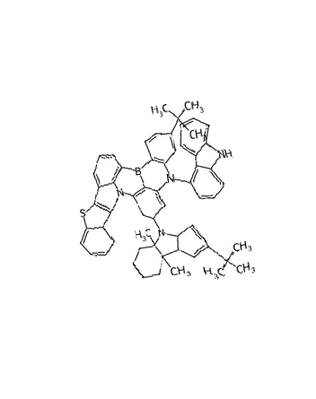 CC(C)(C)C1=CC2C(C=C1)N(C1C=C3C4=C(C1)n1c5c(c6cccc(c61)B4c1ccc(C(C)(C)C)cc1N3c1cccc3[nH]c4ccccc4c13)SC1=CC=CCC15)C1(C)CCCCC21C